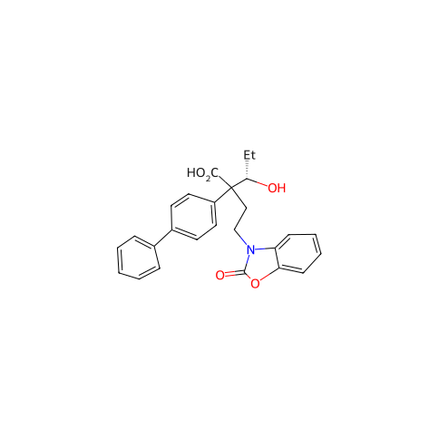 CC[C@H](O)C(CCn1c(=O)oc2ccccc21)(C(=O)O)c1ccc(-c2ccccc2)cc1